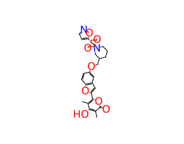 Cc1c(-c2cc3cc(OCC4CCCN(S(=O)(=O)c5ccno5)C4)ccc3o2)oc(=O)c(C)c1O